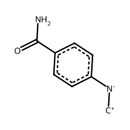 [CH2+][N-]c1ccc(C(N)=O)cc1